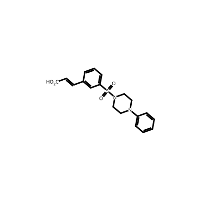 O=C(O)/C=C/c1cccc(S(=O)(=O)N2CCN(c3ccccc3)CC2)c1